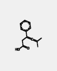 CC(C)=C=C(CC(=O)O)c1ccccc1